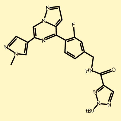 Cn1cc(-c2cn3nccc3c(-c3ccc(CNC(=O)c4cnn(C(C)(C)C)n4)cc3F)n2)cn1